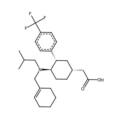 CC(C)CN(CC1=CCCCC1)[C@@H]1CC[C@@H](CC(=O)O)C[C@H]1c1ccc(C(F)(F)F)cc1